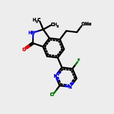 COCCc1cc(-c2nc(Cl)ncc2F)cc2c1C(C)(C)NC2=O